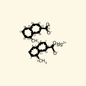 Cc1cccc2ccc(C(=O)[O-])cc12.Cc1cccc2ccc(C(=O)[O-])cc12.[Hg+2]